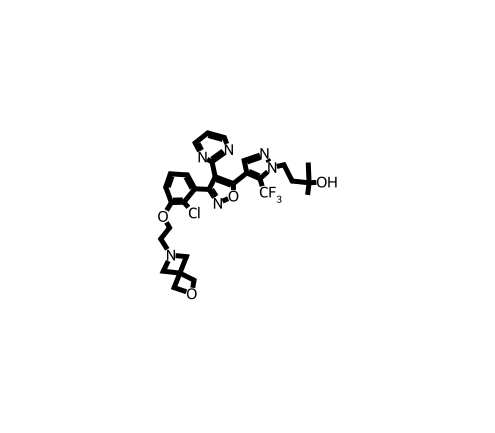 CC(C)(O)CCn1ncc(-c2onc(-c3cccc(OCCN4CC5(COC5)C4)c3Cl)c2-c2ncccn2)c1C(F)(F)F